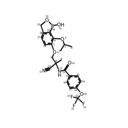 CC(C)Oc1c(OCC(C)(C#N)NC(=O)c2ccc(OC(F)(F)F)cc2)ccc2c1B(O)OC2